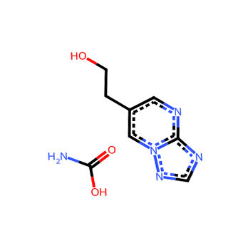 NC(=O)O.OCCc1cnc2ncnn2c1